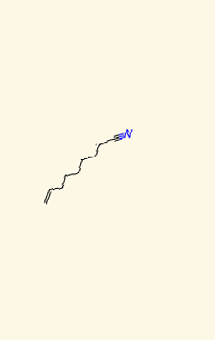 C=CCCCCC[CH]C#N